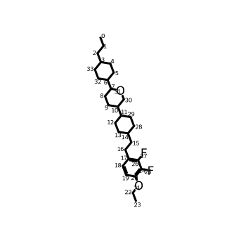 CCCC1CCC(C2CCC(C3CCC(CCc4ccc(OCC)c(F)c4F)CC3)CO2)CC1